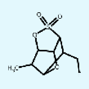 CC1C2OC3C1OS(=O)(=O)C3C2CF